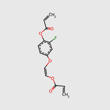 C=CC(=O)O/C=C\Oc1ccc(OC(=O)C=C)c(F)c1